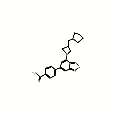 NC(=O)c1ccc(-c2cc(N3CC(CN4CCCC4)C3)c3nonc3c2)cc1